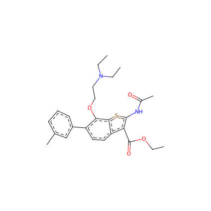 CCOC(=O)c1c(NC(C)=O)sc2c(OCCN(CC)CC)c(-c3cccc(C)c3)ccc12